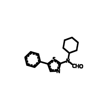 O=CN(c1ncc(-c2ccccc2)s1)C1CCCCC1